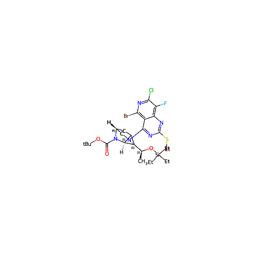 CCSc1nc(N2C[C@H]3CC4[C@H](N3C(=O)OC(C)(C)C)[C@]42[C@H](C)O[Si](CC)(CC)CC)c2c(Br)nc(Cl)c(F)c2n1